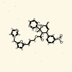 CC1=CC(c2cccc([N+](=O)[O-])c2)C(C(=O)OCC=Cc2ccc(Cn3ccnc3)o2)C(C)(c2cccnc2)N1